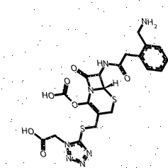 NCc1ccccc1CC(=O)NC1C(=O)N2C(OC(=O)O)=C(CSc3nnnn3CC(=O)O)CS[C@@H]12